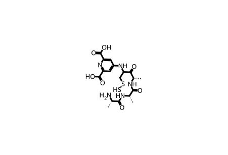 C[C@H](N)C(=O)N[C@@H](C)C(=O)N[C@@H](C)C(=O)C(CSS)Nc1cc(C(=O)O)nc(C(=O)O)c1